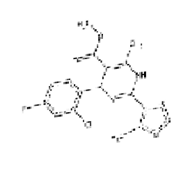 COC(=O)C1=C(C)NC(c2scnc2C)=NC1c1ccc(F)cc1Cl